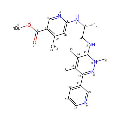 CCCCOC(=O)c1cnc(N[C@H](C)CNC2C(C)=C(C)C(c3cccnc3)=NN2C)cc1C(F)(F)F